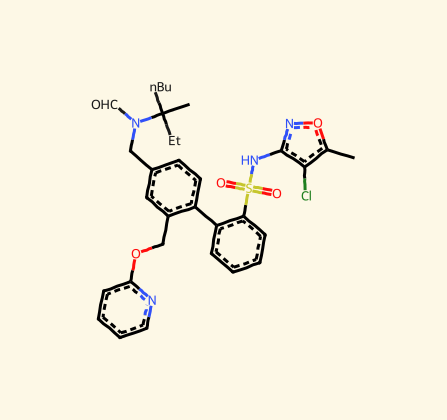 CCCCC(C)(CC)N(C=O)Cc1ccc(-c2ccccc2S(=O)(=O)Nc2noc(C)c2Cl)c(COc2ccccn2)c1